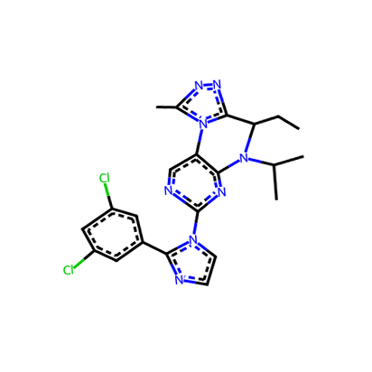 CCC1c2nnc(C)n2-c2cnc(-n3ccnc3-c3cc(Cl)cc(Cl)c3)nc2N1C(C)C